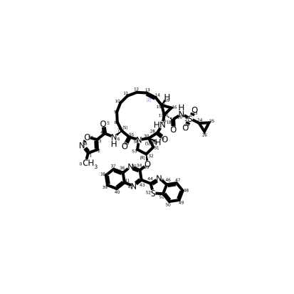 Cc1cc(C(=O)N[C@H]2CCCCC/C=C\[C@@H]3C[C@@]3(C(=O)NS(=O)(=O)C3CC3)NC(=O)[C@@H]3C[C@@H](Oc4nc5ccccc5nc4-c4nc5ccccc5s4)CN3C2=O)on1